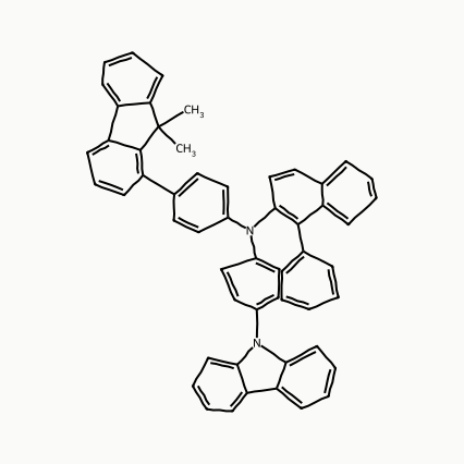 CC1(C)c2ccccc2-c2cccc(-c3ccc(N(c4ccc(-n5c6ccccc6c6ccccc65)cc4)c4ccc5ccccc5c4-c4ccccc4)cc3)c21